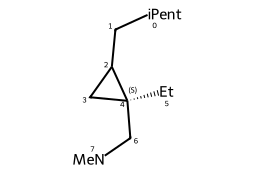 CCCC(C)CC1C[C@]1(CC)CNC